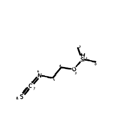 C[SiH](C)OCCN=C=S